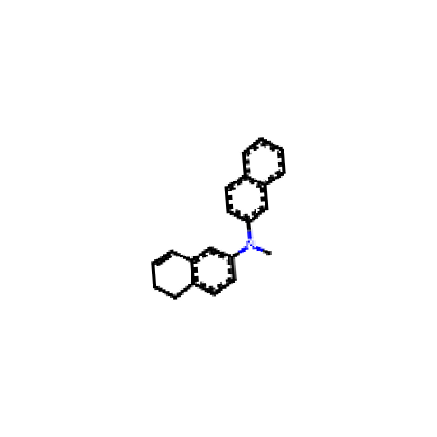 CN(c1ccc2c(c1)C=CCC2)c1ccc2ccccc2c1